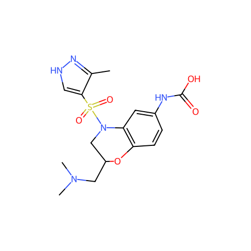 Cc1n[nH]cc1S(=O)(=O)N1CC(CN(C)C)Oc2ccc(NC(=O)O)cc21